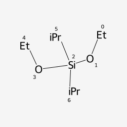 CCO[Si](OCC)(C(C)C)C(C)C